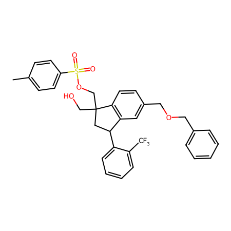 Cc1ccc(S(=O)(=O)OCC2(CO)CC(c3ccccc3C(F)(F)F)c3cc(COCc4ccccc4)ccc32)cc1